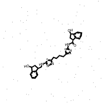 O=C(Nc1nnc(CCCCc2nnc(NCC3CC(O)c4ccccc43)s2)s1)C1CC(O)c2ccccc21